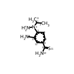 CC(C)N(N)c1ccc(C(N)=S)cc1N